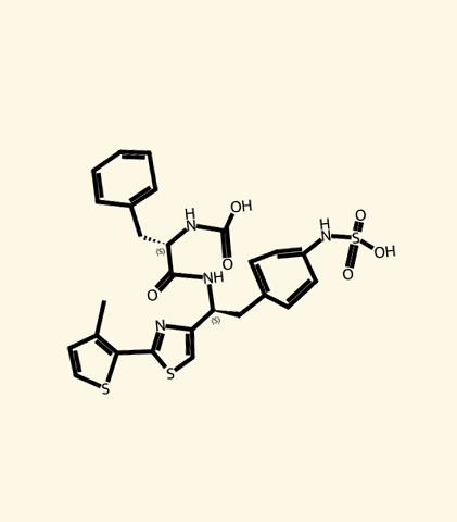 Cc1ccsc1-c1nc([C@H](Cc2ccc(NS(=O)(=O)O)cc2)NC(=O)[C@H](Cc2ccccc2)NC(=O)O)cs1